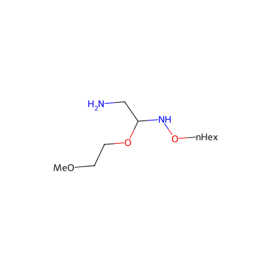 CCCCCCONC(CN)OCCOC